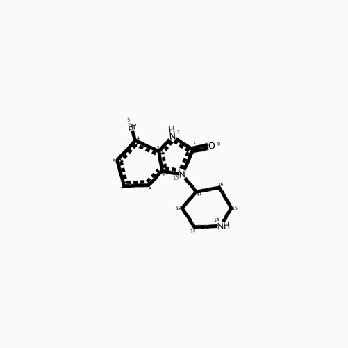 O=c1[nH]c2c(Br)cccc2n1C1CCNCC1